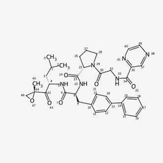 CC(C)C[C@H](NC(=O)[C@H](Cc1ccc(-c2ccccc2)cc1)NC(=O)[C@@H]1CCCN1C(=O)CNC(=O)c1cnccn1)C(=O)[C@@]1(C)CO1